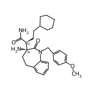 COc1ccc(CN2C(=O)[C@@](N)([C@H](CCC3CCCCC3)C(N)=O)CCc3ccccc32)cc1